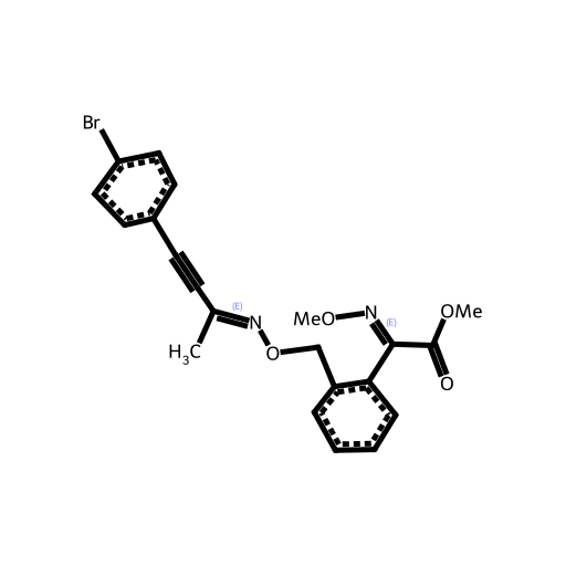 CO/N=C(/C(=O)OC)c1ccccc1CO/N=C(\C)C#Cc1ccc(Br)cc1